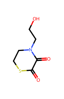 O=C1SCCN(CCO)C1=O